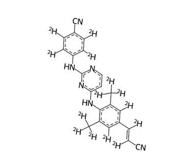 [2H]C(C#N)=C([2H])c1c([2H])c(C([2H])([2H])[2H])c(Nc2ccnc(Nc3c([2H])c([2H])c(C#N)c([2H])c3[2H])n2)c(C([2H])([2H])[2H])c1[2H]